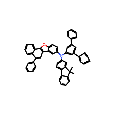 CC1(C)c2ccccc2-c2ccc(N(c3cc(-c4ccccc4)cc(-c4ccccc4)c3)c3ccc4oc5c6ccccc6c(-c6ccccc6)cc5c4c3)cc21